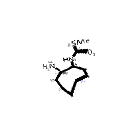 CSC(=O)NC1C/C=C/CCC[C@H]1N